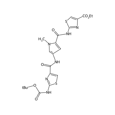 CCOC(=O)c1csc(NC(=O)c2cc(NC(=O)c3csc(NC(=O)OC(C)(C)C)n3)cn2C)n1